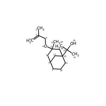 C=C(C)COC1(C)CC2CCCC(C(C)(C)O)(C2)C1